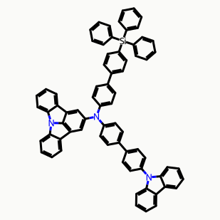 c1ccc([Si](c2ccccc2)(c2ccccc2)c2ccc(-c3ccc(N(c4ccc(-c5ccc(-n6c7ccccc7c7ccccc76)cc5)cc4)c4cc5c6ccccc6n6c7ccccc7c(c4)c56)cc3)cc2)cc1